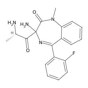 C[C@H](N)C(=O)C1(N)N=C(c2ccccc2F)c2ccccc2N(C)C1=O